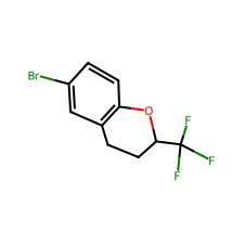 FC(F)(F)C1CCc2cc(Br)ccc2O1